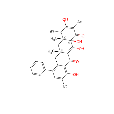 CCc1cc(-c2ccccc2)c2c(c1O)C(=O)C1=C(O)[C@@]3(O)C(=O)C(C(C)=O)=C(O)C(C(C)C)[C@@]3(C)C[C@@]1(C)C2